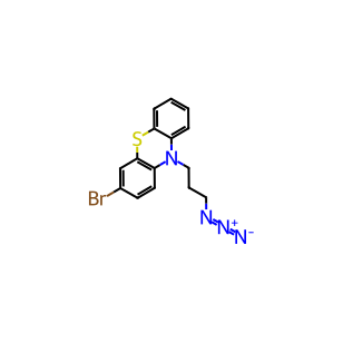 [N-]=[N+]=NCCCN1c2ccccc2Sc2cc(Br)ccc21